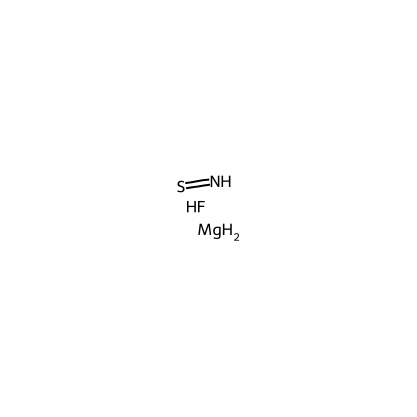 F.N=S.[MgH2]